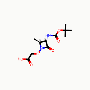 C[C@H]1[C@H](NC(=O)OC(C)(C)C)C(=O)N1OCC(=O)O